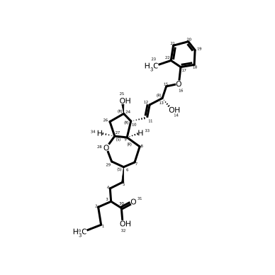 CCCC(CC[C@@H]1CC[C@@H]2[C@@H](C=C[C@@H](O)COc3ccccc3C)[C@H](O)C[C@@H]2OC1)C(=O)O